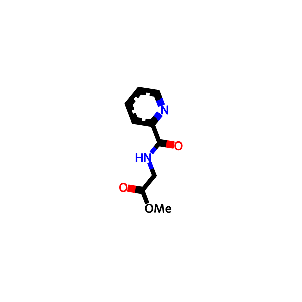 COC(=O)CNC(=O)c1ccccn1